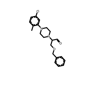 Cc1ccc(Cl)cc1N1CCN(C(C=O)COCc2ccccc2)CC1